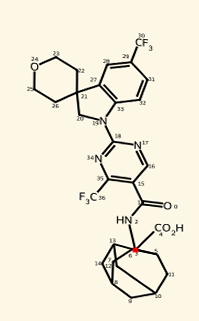 O=C(NC1(C(=O)O)C2CCC3CC(C2)CC1C3)c1cnc(N2CC3(CCOCC3)c3cc(C(F)(F)F)ccc32)nc1C(F)(F)F